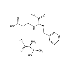 C[C@@H](O)[C@H](N)C(=O)O.O=C(O)CCN[C@H](CCc1ccccc1)C(=O)O